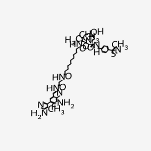 Cc1ncsc1-c1ccc(CNC(=O)[C@@H]2C[C@@H](O)CN2C(=O)[C@@H](NC(=O)CCCCCCCCCC(=O)NCCC(=O)Nc2cc3cc(-c4cncc(N)c4C)c(F)c(N)c3cn2)C(C)(C)C)cc1